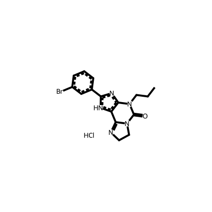 CCCN1C(=O)N2CCN=C2c2[nH]c(-c3cccc(Br)c3)nc21.Cl